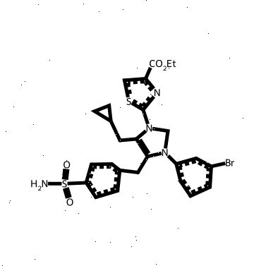 CCOC(=O)c1csc(N2CN(c3cccc(Br)c3)C(Cc3ccc(S(N)(=O)=O)cc3)=C2CC2CC2)n1